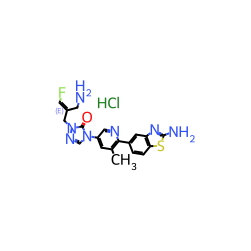 Cc1cc(-n2cnn(C/C(=C/F)CN)c2=O)cnc1-c1ccc2sc(N)nc2c1.Cl